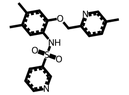 Cc1ccc(COc2cc(C)c(C)cc2NS(=O)(=O)c2cccnc2)nc1